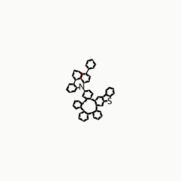 c1ccc(-c2ccc(N(c3ccc4c(c3)c3ccccc3c3ccccc3c3ccccc3c3cc5sc6ccccc6c5cc43)c3ccccc3-c3ccccc3)cc2)cc1